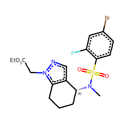 CCOC(=O)Cn1ncc2c1CCC[C@H]2N(C)S(=O)(=O)c1ccc(Br)cc1F